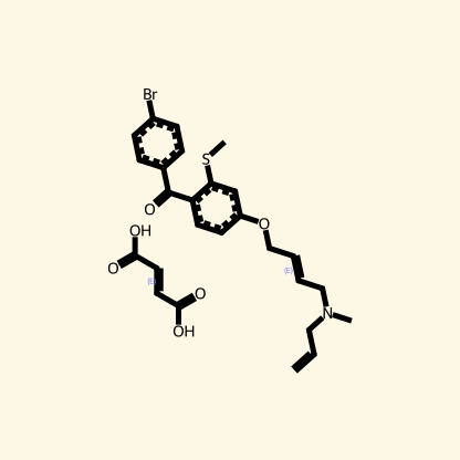 C=CCN(C)C/C=C/COc1ccc(C(=O)c2ccc(Br)cc2)c(SC)c1.O=C(O)/C=C/C(=O)O